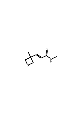 CNC(=O)C=CC1(C)COC1